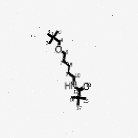 CC(C)(C)COCCCCCNC(=O)C(C)(C)C